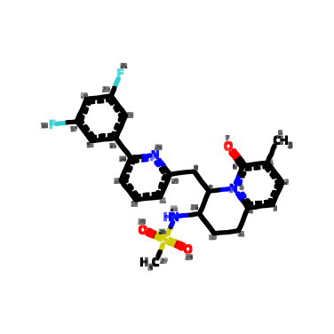 Cc1ccc2n(c1=O)C(Cc1cccc(-c3cc(F)cc(F)c3)n1)C(NS(C)(=O)=O)CC2